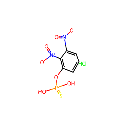 Cl.O=[N+]([O-])c1cccc(OP(O)(O)=S)c1[N+](=O)[O-]